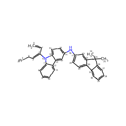 C=C/C(=C\CC(C)C)n1c2ccccc2c2cc(Nc3ccc4c(c3)C(C)(C)c3ccccc3-4)ccc21